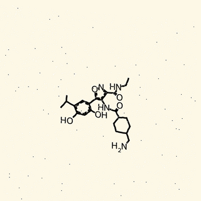 CCNC(=O)c1noc(-c2cc(C(C)C)c(O)cc2O)c1NC(=O)C1CCC(CN)CC1